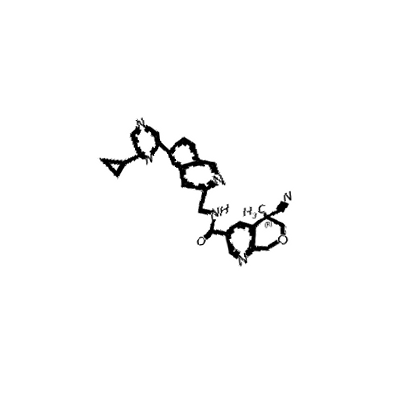 C[C@@]1(C#N)COCc2ncc(C(=O)NCc3cc4cc(-c5cncc(C6CC6)n5)ccc4cn3)cc21